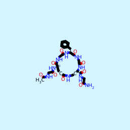 CC(=O)NCC(=O)N[C@H]1CCC(=O)NCC[C@@H](C(=O)NCC(N)=O)NC(=O)CNC(=O)[C@@H](Cc2ccccc2)NC(=O)CNC1=O